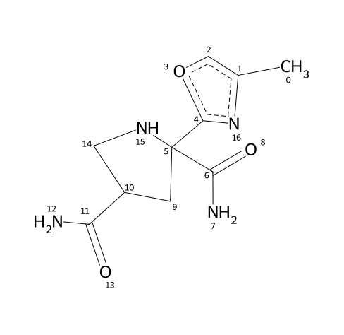 Cc1coc(C2(C(N)=O)CC(C(N)=O)CN2)n1